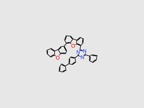 c1ccc(-c2ccc(-c3nc(-c4ccccc4)nc(-c4cccc5c4oc4c(-c6ccc7oc8ccccc8c7c6)cccc45)n3)cc2)cc1